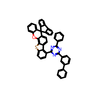 c1ccc(-c2cccc(-c3nc(-c4ccccc4)nc(-c4cccc5sc6c7c(ccc6c45)C4(c5ccccc5O7)c5ccccc5-c5ccccc54)n3)c2)cc1